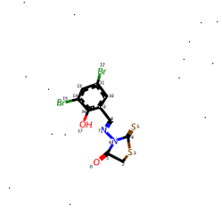 O=C1CSC(=S)N1N=Cc1cc(Br)cc(Br)c1O